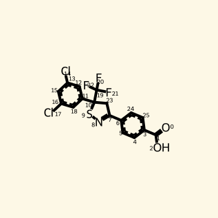 O=C(O)c1ccc(C2=NSC(c3cc(Cl)cc(Cl)c3)(C(F)(F)F)C2)cc1